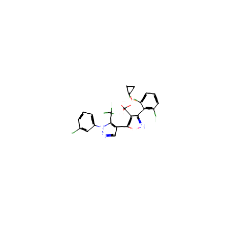 OC(O)(OC1CC1)c1c(-c2c(F)cccc2Cl)noc1-c1cnn(-c2cccc(Cl)c2)c1C(F)(F)F